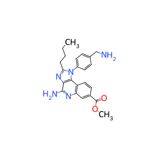 CCCCc1nc2c(N)nc3cc(C(=O)OC)ccc3c2n1-c1ccc(CN)cc1